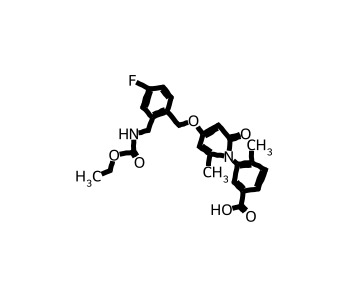 CCOC(=O)NCc1cc(F)ccc1COc1cc(C)n(-c2cc(C(=O)O)ccc2C)c(=O)c1